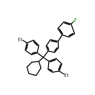 CCc1ccc(C(c2ccc(CC)cc2)(c2ccc(-c3ccc(F)cc3)cc2)C2CCCCC2)cc1